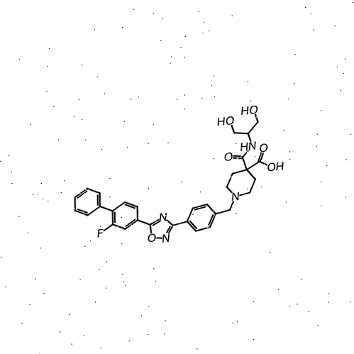 O=C(O)C1(C(=O)NC(CO)CO)CCN(Cc2ccc(-c3noc(-c4ccc(-c5ccccc5)c(F)c4)n3)cc2)CC1